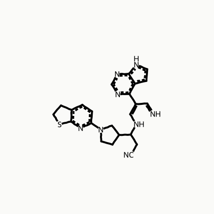 N#CCC(N/C=C(\C=N)c1ncnc2[nH]ccc12)C1CCN(c2ccc3c(n2)SCC3)C1